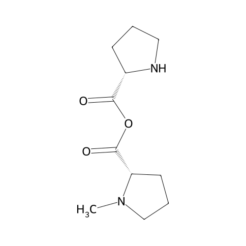 CN1CCC[C@H]1C(=O)OC(=O)[C@@H]1CCCN1